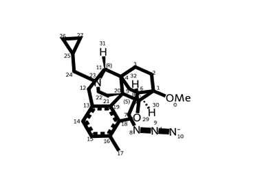 COC12CCC3(C[C@@H]1CN=[N+]=[N-])[C@H]1Cc4ccc(C)c5c4[C@@]3(CCN1CC1CC1)[C@H]2O5